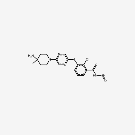 CC1(N)CCN(c2cnc(Sc3cccc(C(=O)N[SH]=O)c3Cl)cn2)CC1